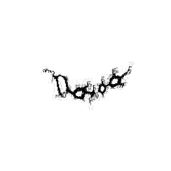 CCCOCC1CCC(c2ccc(C(F)(F)Oc3ccc(-c4cc(F)c(F)c(F)c4)c(F)c3)c(F)c2)OC1